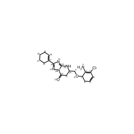 NC1=C(Cl)C=CCC1OCC1CC(=O)n2nc(C3=CCCCC3)nc2N1